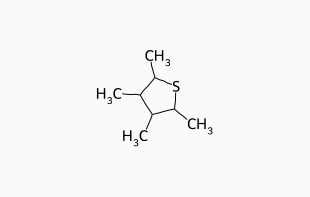 CC1SC(C)C(C)C1C